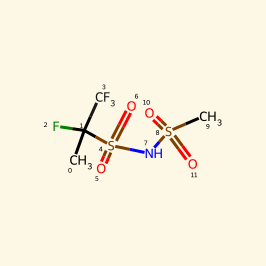 CC(F)(C(F)(F)F)S(=O)(=O)NS(C)(=O)=O